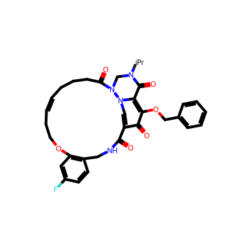 CC(C)N1CN2C(=O)CCC/C=C\CCOc3cc(F)ccc3CNC(=O)c3cn2c(c(OCc2ccccc2)c3=O)C1=O